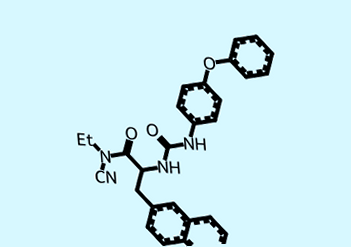 CCN(C#N)C(=O)C(Cc1ccc2ccccc2c1)NC(=O)Nc1ccc(Oc2ccccc2)cc1